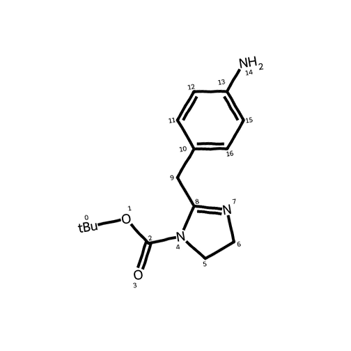 CC(C)(C)OC(=O)N1CCN=C1Cc1ccc(N)cc1